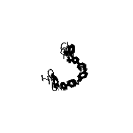 CC1(C)c2cc(C3CCN(CC4CCC(CN5CCC(c6ccc(NC7CCC(=O)NC7=O)cc6)CC5)CC4)CC3)ccc2-n2c1nc(=O)c1c(Cl)cccc12